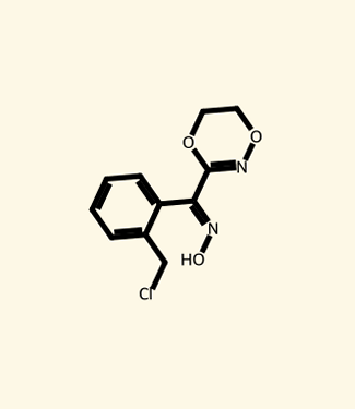 ON=C(C1=NOCCO1)c1ccccc1CCl